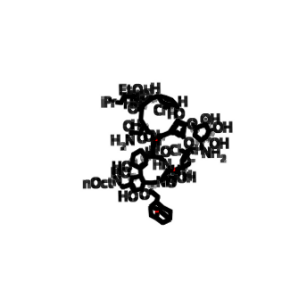 CCCCCCCCNCC1=C(O)CC2C(C3=C[C@H](CC[C@H]3O)[C@H]3CC(=O)[C@@H]4NC(=O)[C@H](CC(N)=O)CC(=O)[C@H](NC(=O)[C@H](CC)CC(C)C)[C@H](O)[C@H]5C=C[C@@H](Oc6cc4cc(c6O[C@@H]4C[C@H](CN)[C@@H](O)[C@H](O)[C@H]4O)O[C@@H]4CC[C@@H](C=C4Cl)[C@@H](O)[C@H](NC3=O)C(=O)N[C@@H]2C(=O)CC2C3CC4CC(C3)CC2C4)[C@H](Cl)C5)[C@H]1O